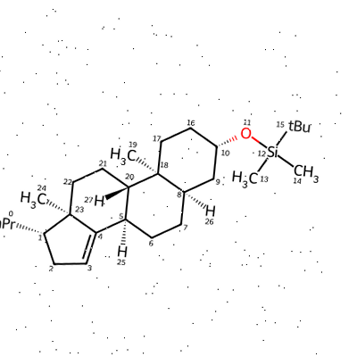 CCC[C@H]1CC=C2[C@@H]3CC[C@@H]4C[C@@H](O[Si](C)(C)C(C)(C)C)CC[C@]4(C)[C@H]3CC[C@@]21C